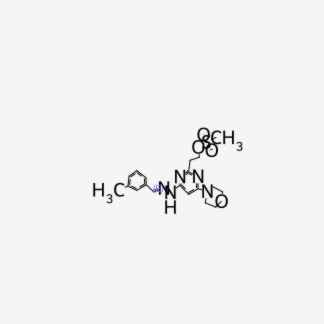 Cc1cccc(/C=N/Nc2cc(N3CCOCC3)nc(CCOS(C)(=O)=O)n2)c1